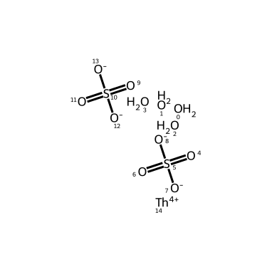 O.O.O.O.O=S(=O)([O-])[O-].O=S(=O)([O-])[O-].[Th+4]